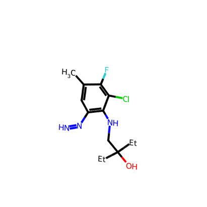 CCC(O)(CC)CNc1c(N=N)cc(C)c(F)c1Cl